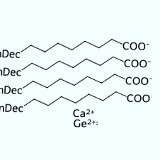 CCCCCCCCCCCCCCCCCC(=O)[O-].CCCCCCCCCCCCCCCCCC(=O)[O-].CCCCCCCCCCCCCCCCCC(=O)[O-].CCCCCCCCCCCCCCCCCC(=O)[O-].[Ca+2].[Ge+2]